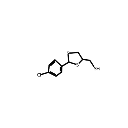 SCC1CSC(c2ccc(Cl)cc2)S1